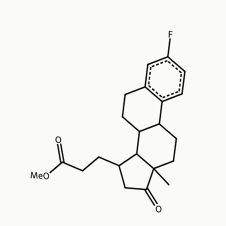 COC(=O)CCC1CC(=O)C2(C)CCC3c4ccc(F)cc4CCC3C12